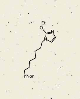 CCCCCCCCCCCCCCCCn1ccnc1OCC